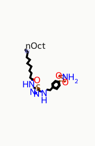 CCCCCCCC/C=C/CCCCCCCC(=O)Nc1nnc(NCCc2ccc(S(N)(=O)=O)cc2)s1